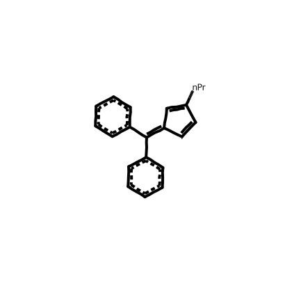 CCCC1=CC(=C(c2ccccc2)c2ccccc2)[C]=C1